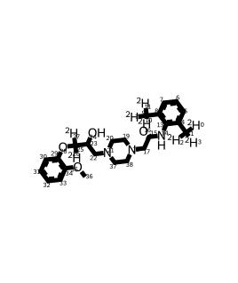 [2H]C([2H])([2H])c1cccc(C([2H])([2H])[2H])c1NC(=O)CN1CCN(CC(O)C([2H])([2H])Oc2ccccc2OC)CC1